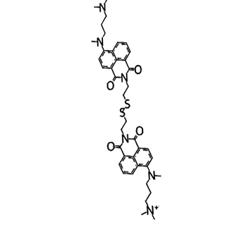 CN(C)CCCN(C)c1ccc2c3c(cccc13)C(=O)N(CCSSCCN1C(=O)c3cccc4c(N(C)CCC[N+](C)(C)C)ccc(c34)C1=O)C2=O